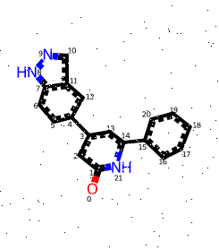 O=c1cc(-c2ccc3[nH]ncc3c2)cc(-c2ccccc2)[nH]1